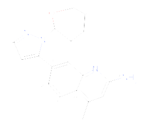 Cc1cc(N)nc2cc(-c3ccnn3C3CCCCO3)ccc12